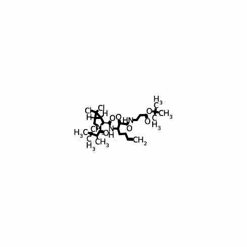 C=CCCC(NC(=O)[C@@H]1[C@@H]2[C@H](CN1C(=O)[C@@H](C)C(C)(C)C)C2(Cl)Cl)C(=O)C(=O)NCCC(=O)OC(C)(C)C